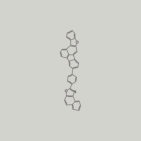 c1ccc2c(c1)ccc1oc(-c3ccc(-c4ccc5c(c4)-c4cccc6c4c-5cc4oc5ccccc5c46)cc3)nc12